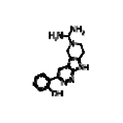 NC(N)N1CCc2[nH]c3nnc(-c4ccccc4O)cc3c2C1